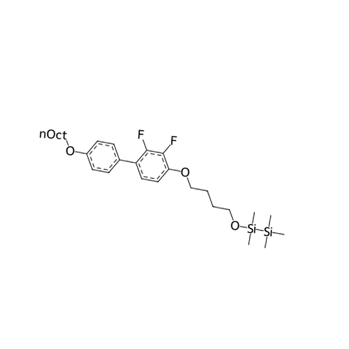 CCCCCCCCOc1ccc(-c2ccc(OCCCCO[Si](C)(C)[Si](C)(C)C)c(F)c2F)cc1